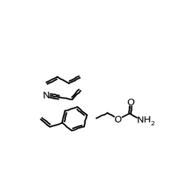 C=CC#N.C=CC=C.C=Cc1ccccc1.CCOC(N)=O